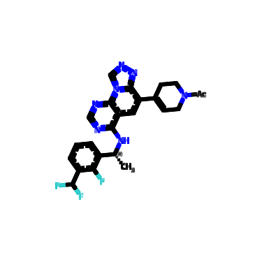 CC(=O)N1CC=C(c2cc3c(N[C@H](C)c4cccc(C(F)F)c4F)ncnc3n3cnnc23)CC1